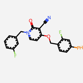 N#Cc1c(OCc2ccc(P)cc2F)ccn(Cc2cccc(F)c2)c1=O